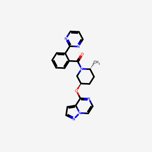 C[C@@H]1CC[C@@H](Oc2nccn3nccc23)CN1C(=O)c1ccccc1-c1ncccn1